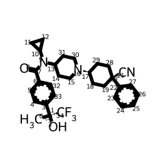 C[C@](O)(c1ccc(C(=O)N(C2CC2)C2CCN([C@H]3CC[C@@](C#N)(c4ccccc4)CC3)CC2)cc1)C(F)(F)F